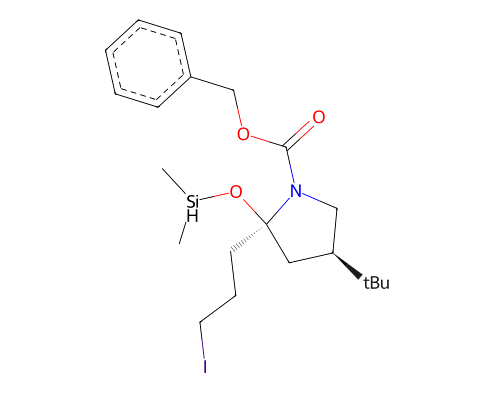 C[SiH](C)O[C@]1(CCCI)C[C@H](C(C)(C)C)CN1C(=O)OCc1ccccc1